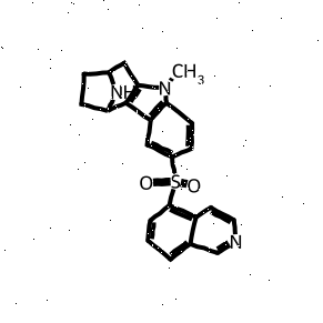 Cn1c2c(c3cc(S(=O)(=O)c4cccc5cnccc45)ccc31)C1CCC(C2)N1